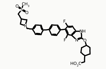 CS(=O)(=O)CC1CN(Cc2ccc(-c3ccc(-c4c(F)cc5[nH]c(OC6CCC(CC(=O)O)CC6)nc5c4F)cc3)cc2)C1